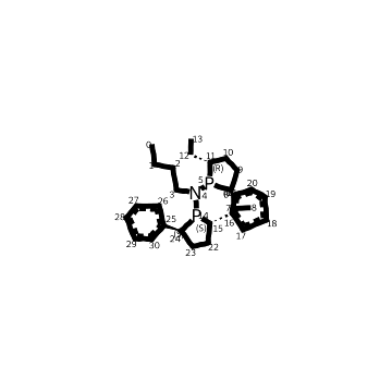 CCCCN(P1[C@H](CC)CC[C@H]1CC)P1[C@H](c2ccccc2)CC[C@H]1c1ccccc1